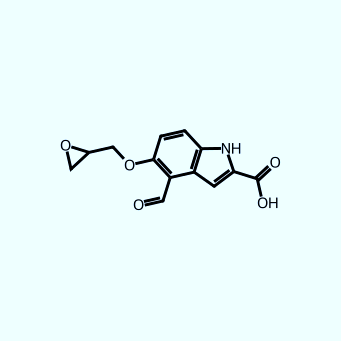 O=Cc1c(OCC2CO2)ccc2[nH]c(C(=O)O)cc12